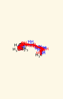 CCCNC(O)Nc1cccc(S(=O)(=O)Nc2cccc([C@@H](CC(=O)O)NC(=O)Nc3ccc(NC(=O)NCCNC(=O)CCCCCN4C(=O)CC(SCNC(=O)CCCC(=O)NCCOCCOCCOCCC(=O)N[C@@H](CC(=O)O)C(=O)N5CCC[C@H]5C(=O)N[C@H](C(=O)Nc5nc6ccccc6c6c5N=C(COCC)CCC6CC(C)(C)O)C(C)C)C4=O)cc3)c2)c1